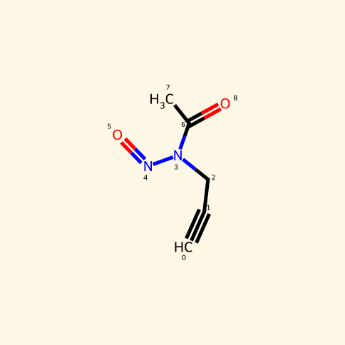 C#CCN(N=O)C(C)=O